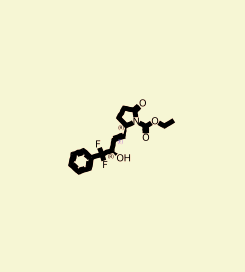 CCOC(=O)N1C(=O)CC[C@@H]1/C=C/[C@@H](O)C(F)(F)c1ccccc1